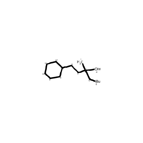 CCC(C)CC(C)(O)CCC1CCCCC1